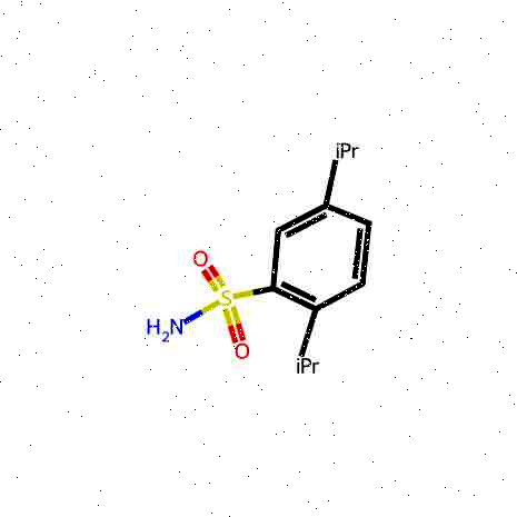 CC(C)c1ccc(C(C)C)c(S(N)(=O)=O)c1